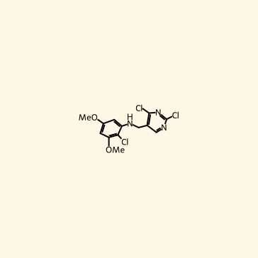 COc1cc(NCc2cnc(Cl)nc2Cl)c(Cl)c(OC)c1